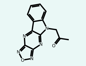 CC(=O)Cn1c2ccccc2c2nc3nonc3nc21